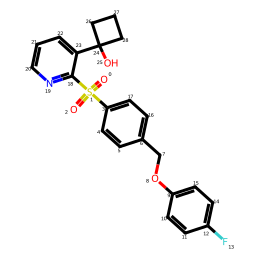 O=S(=O)(c1ccc(COc2ccc(F)cc2)cc1)c1ncccc1C1(O)CCC1